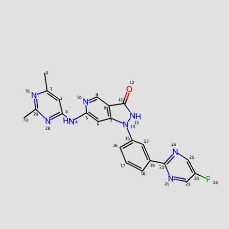 Cc1cc(Nc2cc3c(cn2)c(=O)[nH]n3-c2cccc(-c3ncc(F)cn3)c2)nc(C)n1